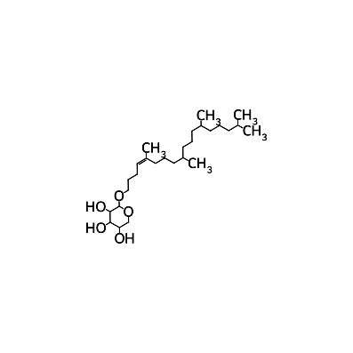 CC(=CCCCOC1OCC(O)C(O)C1O)CCCC(C)CCCC(C)CCCC(C)C